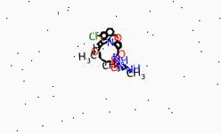 CNC1CN(C(=O)N[S@@]2(=O)=NC(=O)c3ccc4c(c3)N(C[C@@H]3CC[C@H]3[C@@H](OC)/C=C/C[C@H](C)C2)C[C@@]2(CCCc3cc(Cl)ccc32)CO4)C1